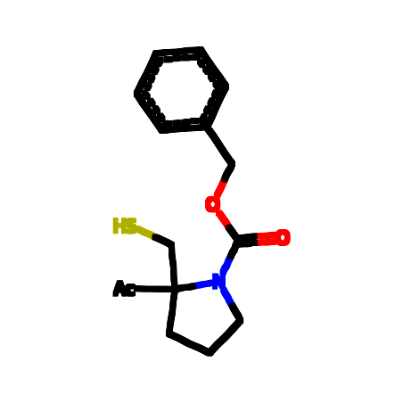 CC(=O)C1(CS)CCCN1C(=O)OCc1ccccc1